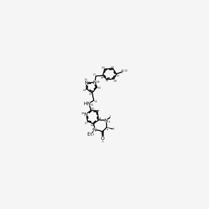 CCN1C(=O)[C@H](C)N(C)c2cc(NCc3cnn(Cc4ccc(F)cc4)c3)ncc21